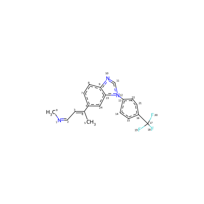 C/N=C\C=C(/C)c1ccc2ncn(-c3ccc(C(F)(F)F)cc3)c2c1